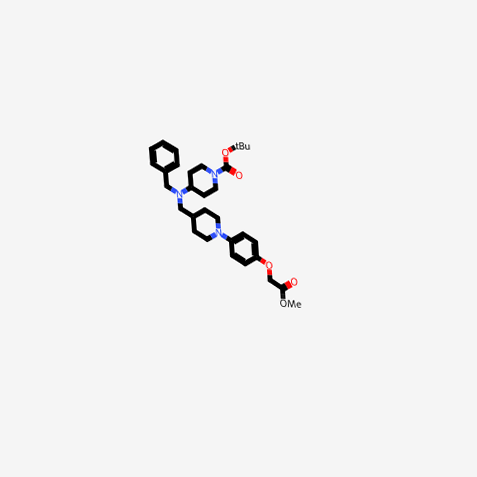 COC(=O)COc1ccc(N2CCC(CN(Cc3ccccc3)C3CCN(C(=O)OC(C)(C)C)CC3)CC2)cc1